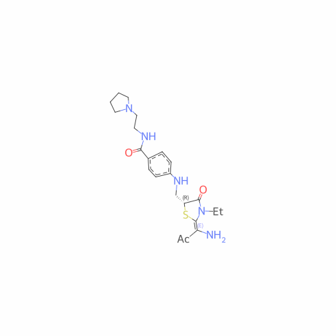 CCN1C(=O)[C@@H](CNc2ccc(C(=O)NCCN3CCCC3)cc2)S/C1=C(/N)C(C)=O